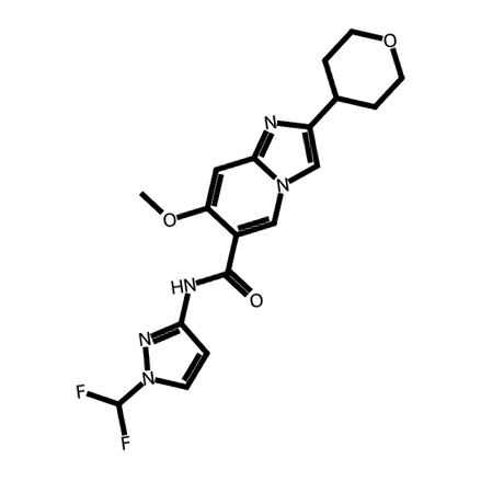 COc1cc2nc(C3CCOCC3)cn2cc1C(=O)Nc1ccn(C(F)F)n1